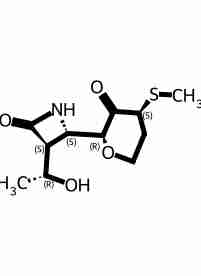 CS[C@H]1CCO[C@H]([C@H]2NC(=O)[C@@H]2[C@@H](C)O)C1=O